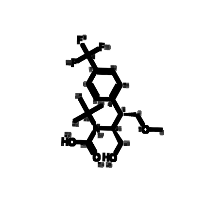 COC[C@@H](c1ccc(C(F)(F)F)cc1)[C@@H](CO)N(C(=O)O)C(C)(C)C